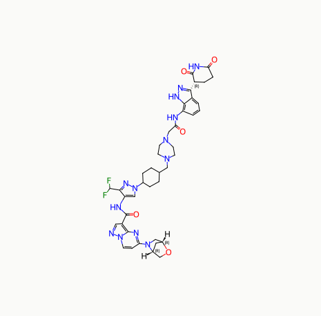 O=C1CC[C@H](c2n[nH]c3c(NC(=O)CN4CCN(CC5CCC(n6cc(NC(=O)c7cnn8ccc(N9C[C@H]%10C[C@@H]9CO%10)nc78)c(C(F)F)n6)CC5)CC4)cccc23)C(=O)N1